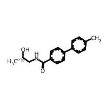 Cc1ccc(-c2ccc(C(=O)NC[C@H](C)O)cc2)cc1